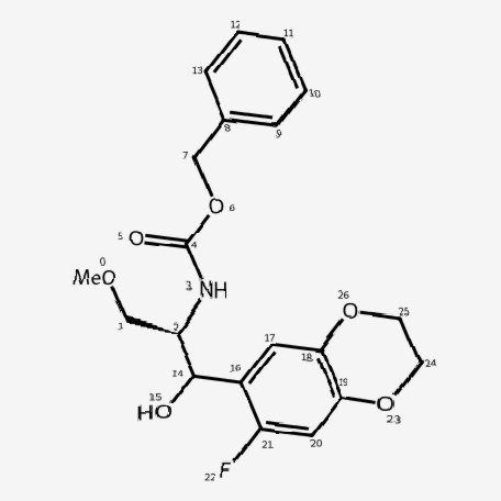 COC[C@@H](NC(=O)OCc1ccccc1)C(O)c1cc2c(cc1F)OCCO2